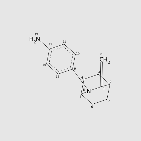 C=C1C2CCC(CC2)N1c1ccc(N)cc1